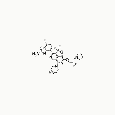 Nc1nc2c(-c3ncc4c(N5CCNCC5)nc(OCC5(CN6CCCC6)CC5)nc4c3C(F)(F)Cl)ccc(F)c2s1